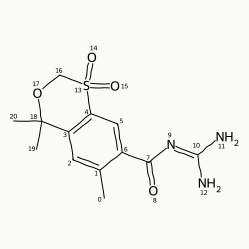 Cc1cc2c(cc1C(=O)N=C(N)N)S(=O)(=O)COC2(C)C